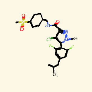 CCn1nc(C(=O)NCC2CCC(S(C)(=O)=O)CC2)c(Cl)c1-c1c(F)cc(CC(C)C(F)(F)F)cc1F